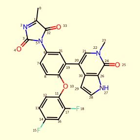 CC1=NC(=O)N(c2ccc(Oc3ccc(F)cc3F)c(-c3cn(C)c(=O)c4[nH]ccc34)c2)C1=O